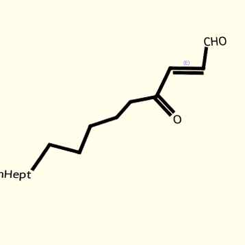 CCCCCCCCCCCCC(=O)/C=C/C=O